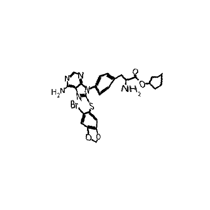 Nc1ncnc2c1nc(Sc1cc3c(cc1Br)OCO3)n2-c1ccc(C[C@H](N)C(=O)OC2CCCC2)cc1